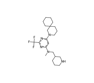 CN(CC1CCCNC1)c1cc(N2CCCC3(CCCCC3)C2)nc(C(F)(F)F)n1